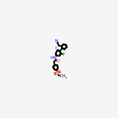 CCS(=O)(=O)c1ccc(CC(=O)Nc2cc(F)c(-c3ccccc3CC#N)c(F)c2)cc1